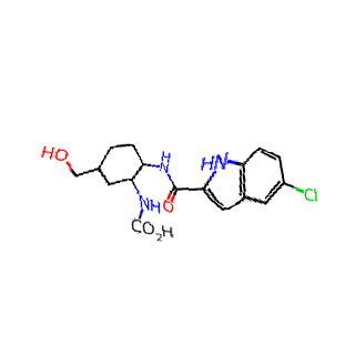 O=C(O)NC1CC(CO)CCC1NC(=O)c1cc2cc(Cl)ccc2[nH]1